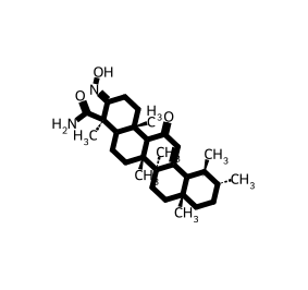 C[C@@H]1CC[C@]2(C)CC[C@]3(C)C(=CC(=O)C4[C@@]5(C)CCC(=NO)[C@](C)(C(N)=O)C5CC[C@]43C)C2[C@H]1C